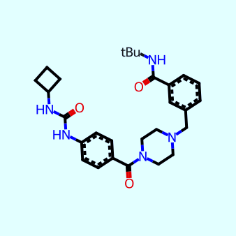 CC(C)(C)NC(=O)c1cccc(CN2CCN(C(=O)c3ccc(NC(=O)NC4CCC4)cc3)CC2)c1